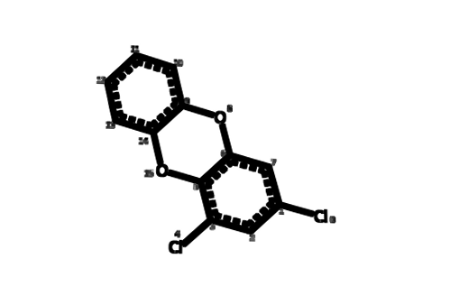 Clc1cc(Cl)c2c(c1)Oc1ccccc1O2